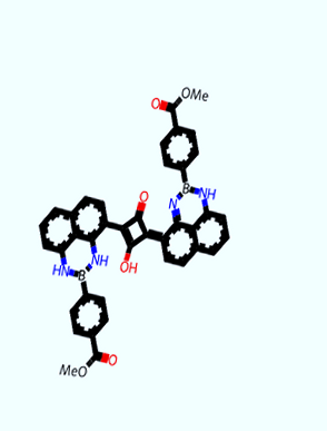 COC(=O)c1ccc(B2N=c3/c(=C4\C(=O)C(c5ccc6cccc7c6c5NB(c5ccc(C(=O)OC)cc5)N7)=C4O)ccc4cccc(c34)N2)cc1